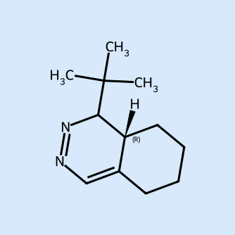 CC(C)(C)C1N=NC=C2CCCC[C@H]21